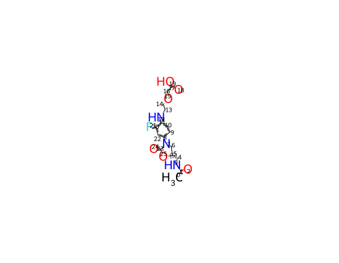 CC(=O)NC[C@H]1CN(c2ccc(NCCOCC(=O)O)c(F)c2)C(=O)O1